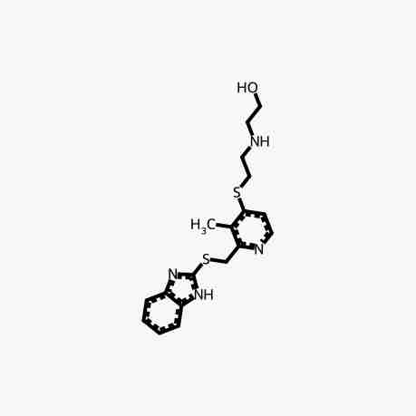 Cc1c(SCCNCCO)ccnc1CSc1nc2ccccc2[nH]1